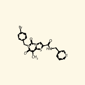 Cc1c(=O)n(Cc2ccc(Br)cc2)c(=O)n2cc(C(=O)NCc3cccnc3)sc12